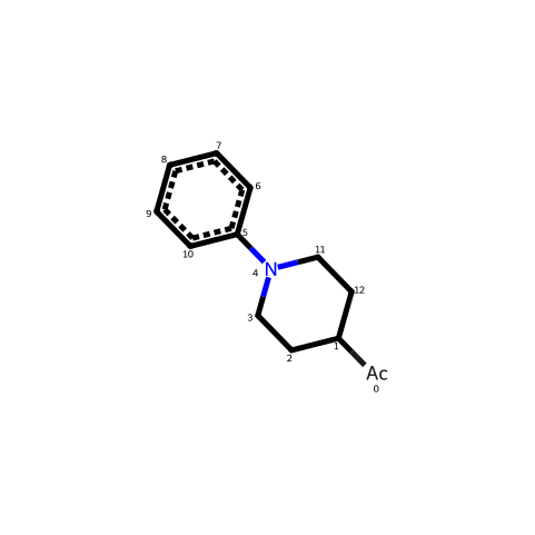 CC(=O)C1CCN(c2ccccc2)CC1